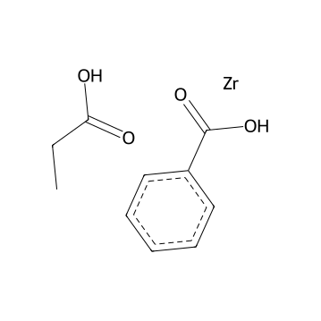 CCC(=O)O.O=C(O)c1ccccc1.[Zr]